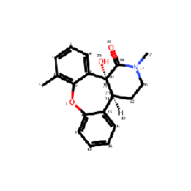 Cc1cccc2c1Oc1ccccc1[C@@H]1CCN(C)C(=O)[C@]21O